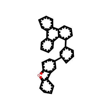 c1cc(-c2ccc3oc4ccccc4c3c2)cc(-c2cccc3c4ccccc4c4ccccc4c23)c1